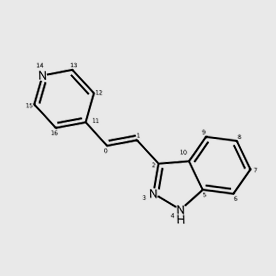 C(=C\c1n[nH]c2ccccc12)/c1ccncc1